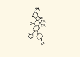 CC1(C)c2cc(N3CCN(C4CC4)CC3)c(-c3cccs3)cc2C(=O)c2c1[nH]c1cc(N)ccc21